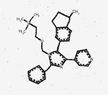 CC1CCc2cc(-c3c(-c4ccncc4)nc(-c4ccccc4)n3COCC[Si](C)(C)C)ccc21